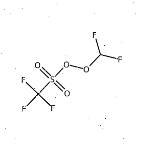 O=S(=O)(OOC(F)F)C(F)(F)F